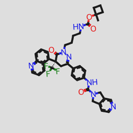 CC1(OC(=O)NCCCCN2N=C(c3ccc(NC(=O)N4Cc5ccncc5C4)cc3)C[C@](c3cccc4ncccc34)(C(F)(F)F)C2=O)CCC1